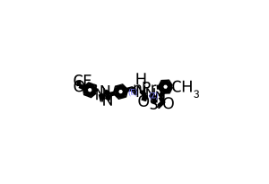 CCCc1ccc(C)cc1N1C(=O)CS/C1=N\C(=O)N/C=C/c1ccc(-c2ncn(-c3ccc(OC(F)(F)F)cc3)n2)cc1